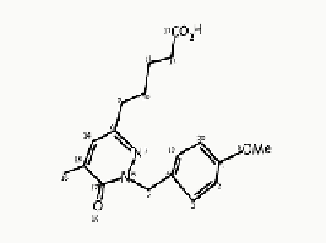 COc1ccc(Cn2nc(CCCCC(=O)O)cc(C)c2=O)cc1